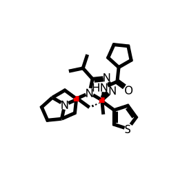 Cc1nnc(C(C)C)n1C1CC2CCC(C1)N2CC[C@H](NC(=O)C1CCCC1)c1ccsc1